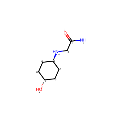 [NH]C(=O)CN[C@H]1CC[C@H](O)CC1